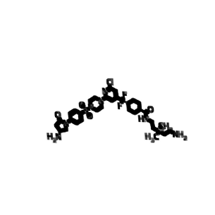 C[N+](C)(CCN)CCNC(=O)[C@H]1CC[C@H](C(F)(F)c2cc(Cl)nc(N3CCN(S(=O)(=O)c4ccc(N5C[C@H](N)CC5=O)cc4)CC3)c2)CC1